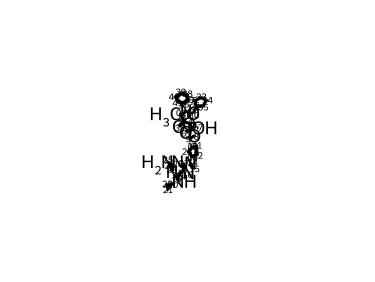 C[C@@H](C(=O)OP(=O)(O)OC[C@@H]1C=C[C@H](n2cnc3c(NC4CC4)nc(N)nc32)C1)N(OC1CCCC1)c1ccccc1